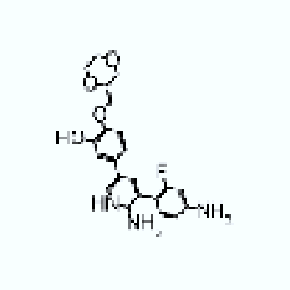 Nc1ccc(C2=CC(c3ccc(OC[C@@H]4COCCO4)c(O)c3)=CNC2N)c(F)c1